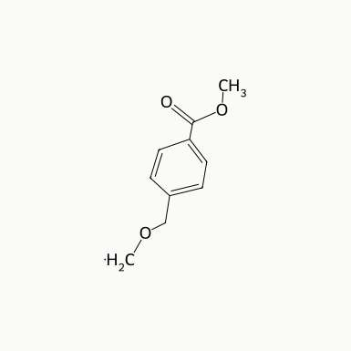 [CH2]OCc1ccc(C(=O)OC)cc1